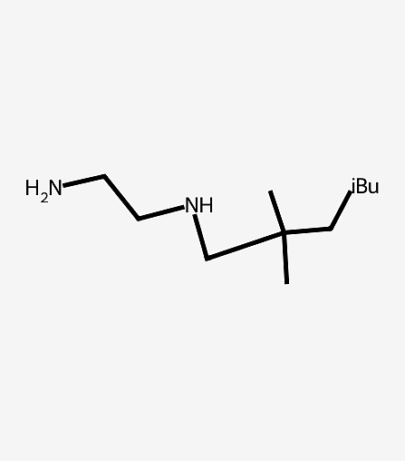 CCC(C)CC(C)(C)CNCCN